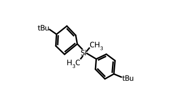 CC(C)(C)c1ccc([Si](C)(C)c2ccc(C(C)(C)C)cc2)cc1